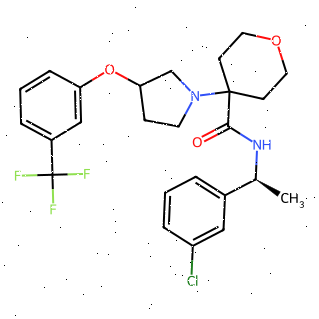 C[C@H](NC(=O)C1(N2CCC(Oc3cccc(C(F)(F)F)c3)C2)CCOCC1)c1cccc(Cl)c1